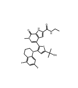 CCNC(=O)c1cc2c(-c3sc(C(C)(C)O)cc3N3CCCc4c(F)cc(F)cc43)cn(C)c(=O)c2[nH]1